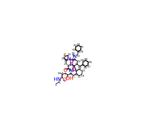 CCNC(=O)C(C)CC(O)C(CC1CCCCC1)NC(=O)[C@H](Cc1cscn1)NC(=O)C(CC(=O)N(C)Cc1ccccc1)Cc1ccccc1